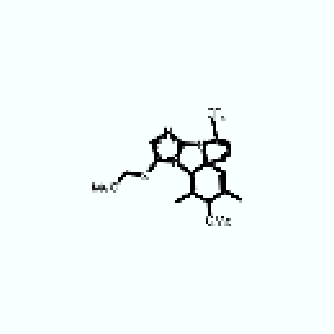 COCSc1cnc2n1C1=C(C)C(OC)C(C)=CC13C=CC=C(C(F)(F)F)N23